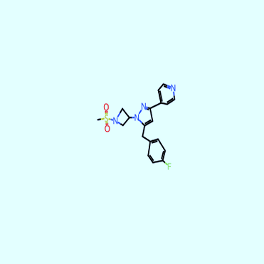 CS(=O)(=O)N1CC(n2nc(-c3ccncc3)cc2Cc2ccc(F)cc2)C1